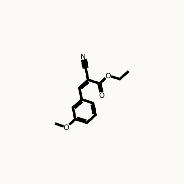 CCOC(=O)C(C#N)=Cc1cccc(OC)c1